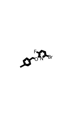 Cc1ccc(COc2nc(Br)ccc2F)cc1